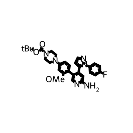 COc1cc(N2CCN(C(=O)OC(C)(C)C)CC2)ccc1-c1cnc(N)cc1-c1ccnn1-c1ccc(F)cc1